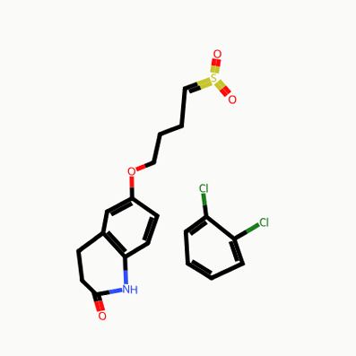 Clc1ccccc1Cl.O=C1CCc2cc(OCCCC=S(=O)=O)ccc2N1